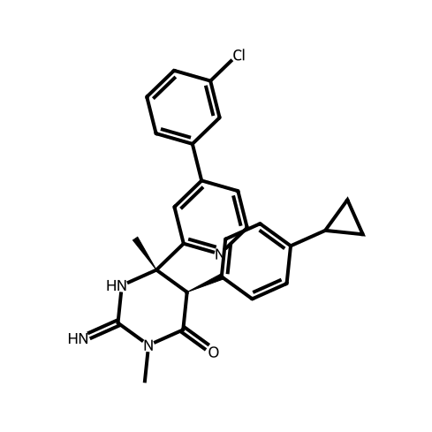 CN1C(=N)N[C@](C)(c2cc(-c3cccc(Cl)c3)ccn2)[C@@H](c2ccc(C3CC3)cc2)C1=O